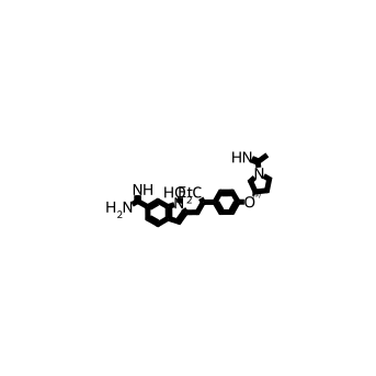 CCn1c(CC(C(=O)O)c2ccc(O[C@H]3CCN(C(C)=N)C3)cc2)cc2ccc(C(=N)N)cc21